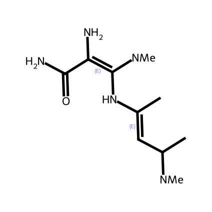 CN/C(N/C(C)=C/C(C)NC)=C(\N)C(N)=O